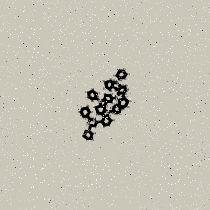 c1ccc(-c2cc(-c3cccc4c3c3ccc5c(c6cc(-n7c8ccccc8c8ccc9c(c%10ccccc%10n9-c9ccccc9)c87)ccc6n5-c5ccccc5)c3n4-c3ccccc3)nc(-c3ccccc3)n2)cc1